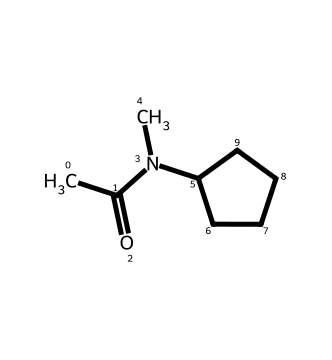 CC(=O)N(C)C1CCCC1